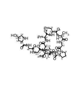 CCCCCC[C@H](NC(=O)[C@@H]1CCCN1C(=O)CNC(=O)[C@H](C)NC(=O)[C@H](CC(C)C)NC(=O)[C@@H](NC(=O)[C@H](CC(=O)O)NC(=O)[C@H](CCC(N)=O)NC(=O)CNC(=O)[C@@H]1C[C@@H](O)CN1)C(C)C)C(=O)O